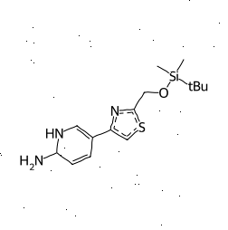 CC(C)(C)[Si](C)(C)OCc1nc(C2=CNC(N)C=C2)cs1